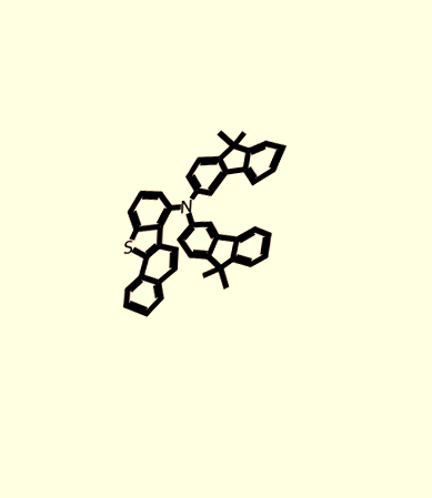 CC1(C)c2ccccc2-c2cc(N(c3ccc4c(c3)-c3ccccc3C4(C)C)c3cccc4sc5c6ccccc6ccc5c34)ccc21